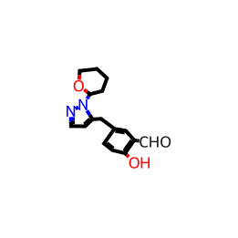 O=Cc1cc(Cc2ccnn2C2CCCCO2)ccc1O